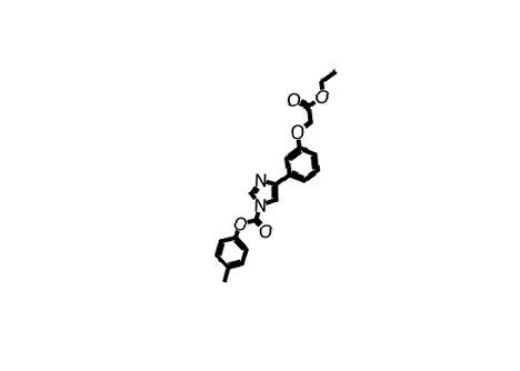 CCOC(=O)COc1cccc(-c2cn(C(=O)Oc3ccc(C)cc3)cn2)c1